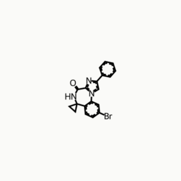 O=C1NC2(CC2)c2ccc(Br)cc2-n2cc(-c3ccccc3)nc21